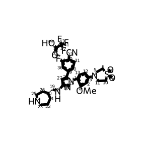 COc1cc(N2CCS(=O)(=O)CC2)ccc1-n1nc(NC[C@@H]2CCCNCC2)cc1-c1ccc(C#N)c(F)c1.O=C(O)C(F)(F)F